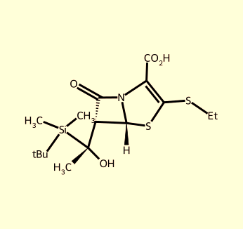 CCSC1=C(C(=O)O)N2C(=O)[C@@H]([C@](C)(O)[Si](C)(C)C(C)(C)C)[C@H]2S1